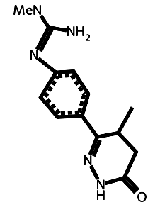 CNC(N)=Nc1ccc(C2=NNC(=O)CC2C)cc1